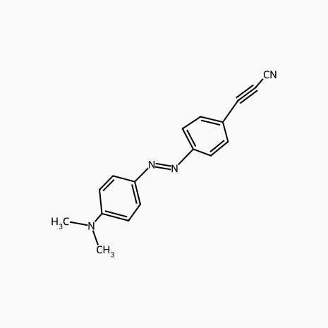 CN(C)c1ccc(N=Nc2ccc(C#CC#N)cc2)cc1